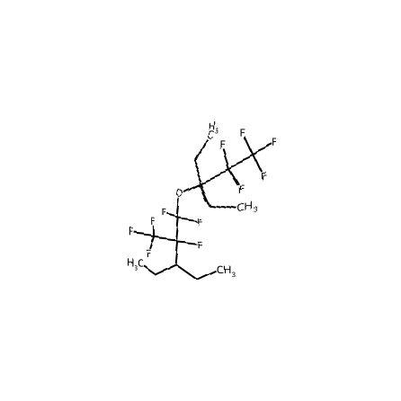 CCC(CC)C(F)(C(F)(F)F)C(F)(F)OC(CC)(CC)C(F)(F)C(F)(F)F